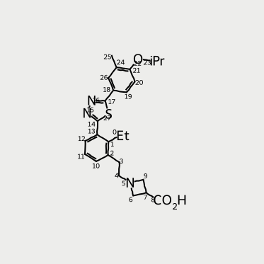 CCc1c(CCN2CC(C(=O)O)C2)cccc1-c1nnc(-c2ccc(OC(C)C)c(C)c2)s1